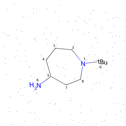 CC(C)(C)N1CCCC(N)CC1